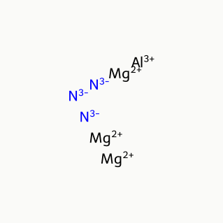 [Al+3].[Mg+2].[Mg+2].[Mg+2].[N-3].[N-3].[N-3]